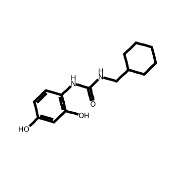 O=C(NCC1CCCCC1)Nc1ccc(O)cc1O